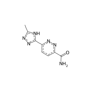 Cc1nnc(-c2ccc(C(N)=O)nn2)[nH]1